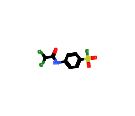 O=C(Nc1ccc(S(=O)(=O)Cl)cc1)C(Cl)Cl